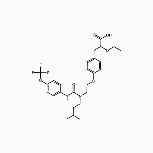 CCOC(Cc1ccc(OCCN(CCC(C)C)C(=O)Nc2ccc(OC(F)(F)F)cc2)cc1)C(=O)O